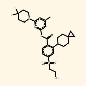 Cc1cc(NC(=O)c2ccc(S(=O)(=O)CCO)cc2N2CCC3(CC2)CC3)nc(N2CCC(F)(F)CC2)n1